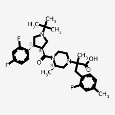 Cc1ccc(CC(C)(C(=O)O)N2CCN(C(=O)[C@@H]3CN(C(C)(C)C)C[C@H]3c3ccc(F)cc3F)[C@@H](C)C2)c(F)c1